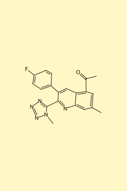 CC(=O)c1cc(C)cc2nc(-c3nnnn3C)c(-c3ccc(F)cc3)cc12